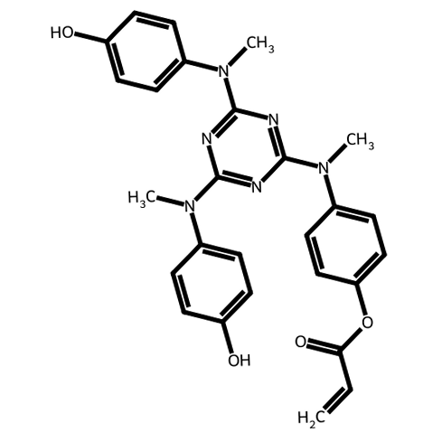 C=CC(=O)Oc1ccc(N(C)c2nc(N(C)c3ccc(O)cc3)nc(N(C)c3ccc(O)cc3)n2)cc1